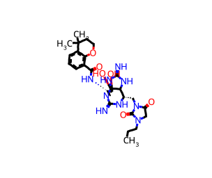 CCCN1CC(=O)N(C[C@@H]2NC(=N)N3C[C@H](NC(=O)c4cccc5c4OCCC5(C)C)C(O)(O)C34NC(=N)NC24)C1=O